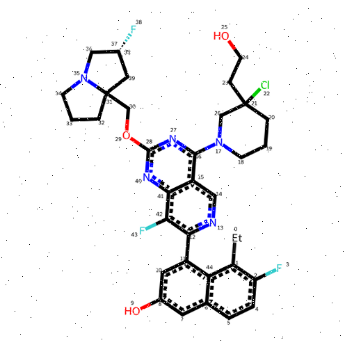 CCc1c(F)ccc2cc(O)cc(-c3ncc4c(N5CCCC(Cl)(CCO)C5)nc(OCC56CCCN5C[C@H](F)C6)nc4c3F)c12